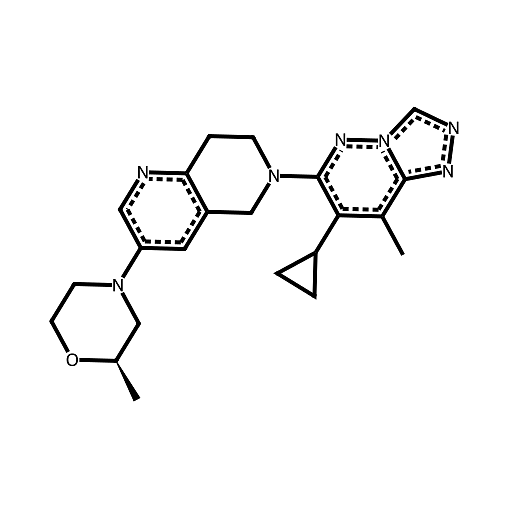 Cc1c(C2CC2)c(N2CCc3ncc(N4CCO[C@H](C)C4)cc3C2)nn2cnnc12